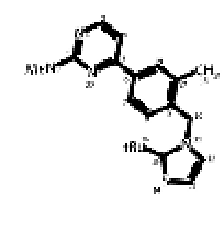 CNc1nccc(-c2ccc(CN3C=CSC3C(C)(C)C)c(C)c2)n1